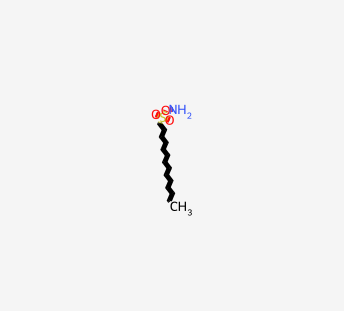 CCCCCCCCCCCCCCS(=O)(=O)ON